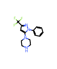 FC(F)(F)c1cc(N2CCNCC2)n(-c2ccccc2)n1